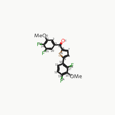 COc1cc(C(=O)c2ccc(-c3ccc(F)c(OC)c3F)s2)cc(F)c1F